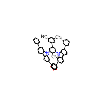 N#Cc1cc(C#N)cc(-c2cc(-n3c4cc(-c5ccccc5)ccc4c4ccc(-c5ccccc5)cc43)c(C#N)c(-n3c4cc(-c5ccccc5)ccc4c4ccc(-c5ccccc5)cc43)c2)c1